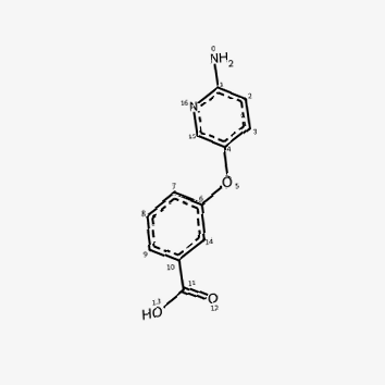 Nc1ccc(Oc2cccc(C(=O)O)c2)cn1